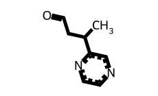 CC(CC=O)c1cnccn1